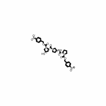 O=C(N[C@H]1CCN(C(=O)[C@@H]2C[C@H](S)CN2C(=O)OCc2ccc([N+](=O)[O-])cc2)C1)[C@@H]1CCCN1C(=O)OCc1ccc([N+](=O)[O-])cc1